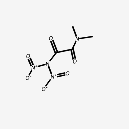 CN(C)C(=O)C(=O)N([N+](=O)[O-])[N+](=O)[O-]